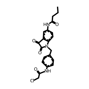 CCCC(=O)Nc1ccc2c(c1)C(=O)C(=O)N2Cc1ccc(NC(=O)CCl)cc1